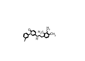 Cc1ccc(CCNc2ccc(=O)n(-c3cccc(F)c3)c2)c(C)c1C